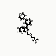 C[Si](C)(C)CCOCn1nc(-c2ccnc(N3CCOCC3)c2)c2cccnc21